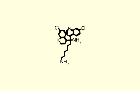 NCCCCCCC(N)(c1ccnc2cc(Cl)ccc12)c1ccnc2cc(Cl)ccc12